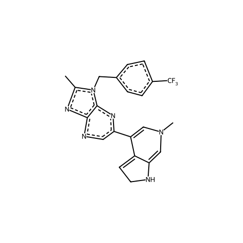 Cc1nc2ncc(C3=CN(C)C=C4NCC=C43)nc2n1Cc1ccc(C(F)(F)F)cc1